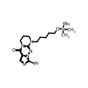 CC(C)c1ncc2c(=O)n3c(nn12)N(CCCCCO[Si](C)(C)C(C)(C)C)CCC3